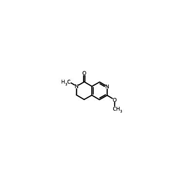 COc1cc2c(cn1)C(=O)N(C)CC2